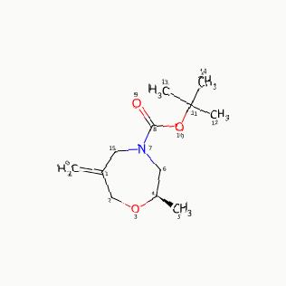 C=C1CO[C@H](C)CN(C(=O)OC(C)(C)C)C1